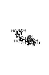 C=C(C)CCC(OP(=O)(O)OP(=O)(O)OP(=O)(O)O)[C@H]1O[C@@H](n2cnc3c(O)nc(O)nc32)[C@H](O)[C@@H]1O